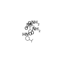 CC(C)C1CCCC(NC(=O)CC(C(N)=O)C(CC(N)=O)C(N)=O)C1